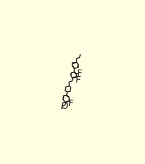 CCCc1ccc(-c2ccc(CCC3CCC(c4ccc(OCC)c(F)c4)CC3)c(F)c2F)cc1